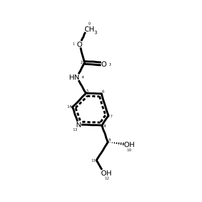 COC(=O)Nc1ccc([C@H](O)CO)nc1